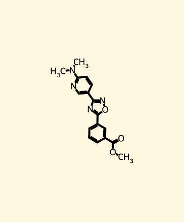 COC(=O)c1cccc(-c2nc(-c3ccc(N(C)C)nc3)no2)c1